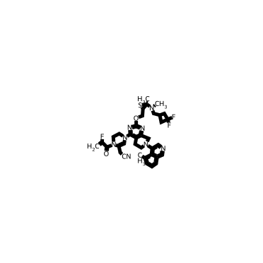 C=C(F)C(=O)N1CCN(c2nc(OCC3S[C@]3(C)N(C)CC3CC(F)(F)C3)nc3c2CCN(c2cncc4cccc(C)c24)C3)C=C1CC#N